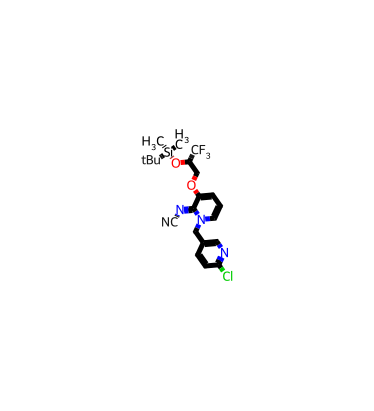 CC(C)(C)[Si](C)(C)OC(COc1cccn(Cc2ccc(Cl)nc2)c1=NC#N)C(F)(F)F